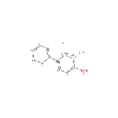 OC1=CC=C(C2=CC=CCC2)[C@H](F)C1F